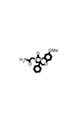 COc1ccc2c(c1)N1C(=O)N(CC(N)=O)CC1(c1ccccc1)CO2